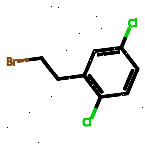 Clc1ccc(Cl)c(CCBr)c1